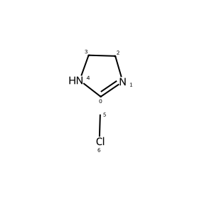 C1=NCCN1.CCl